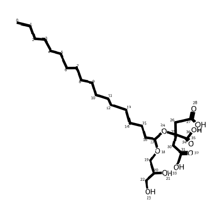 CCCCCCCCCCCCCCCCCC(OCC(O)CO)OC(CC(=O)O)(CC(=O)O)C(=O)O